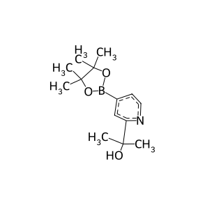 CC(C)(O)c1cc(B2OC(C)(C)C(C)(C)O2)ccn1